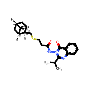 CC(C)c1nc2ccccc2c(=O)n1NC(=O)CCSC[C@@H]1CC[C@H]2C[C@H]1C2(C)C